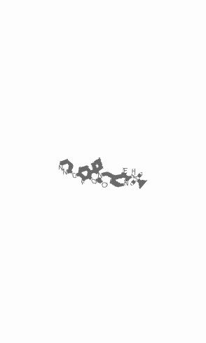 O=C1Oc2c(ccc(Oc3cccnn3)c2F)C2(CCC2)N1Cc1ccnc(NS(=O)(=O)C2CC2)c1F